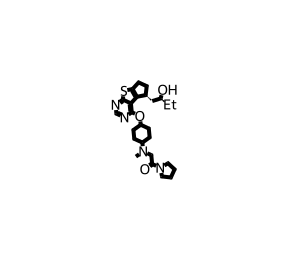 CC[C@@H](O)C[C@H]1CCc2sc3ncnc(OC4CCC(N(C)CC(=O)N5CCCC5)CC4)c3c21